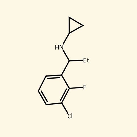 CCC(NC1CC1)c1cccc(Cl)c1F